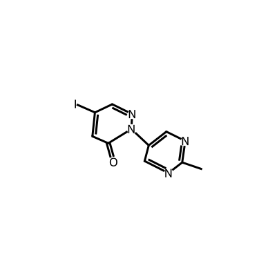 Cc1ncc(-n2ncc(I)cc2=O)cn1